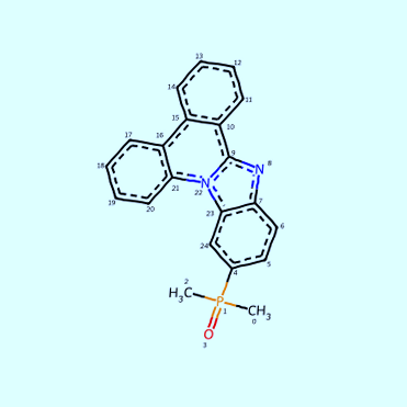 CP(C)(=O)c1ccc2nc3c4ccccc4c4ccccc4n3c2c1